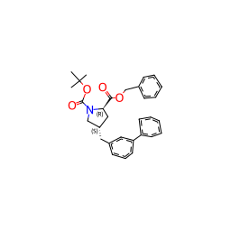 CC(C)(C)OC(=O)N1C[C@@H](Cc2cccc(-c3ccccc3)c2)C[C@@H]1C(=O)OCc1ccccc1